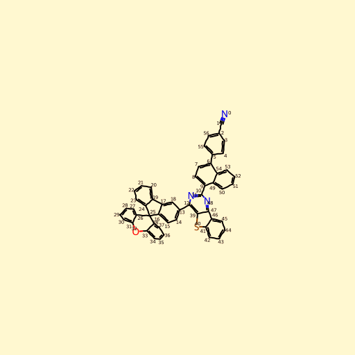 N#Cc1ccc(-c2ccc(-c3nc(-c4ccc5c(c4)-c4ccccc4C54c5ccccc5Oc5ccccc54)c4sc5ccccc5c4n3)c3ccccc23)cc1